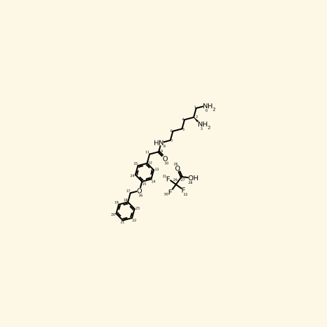 NC[C@@H](N)CCCCNC(=O)Cc1ccc(OCc2ccccc2)cc1.O=C(O)C(F)(F)F